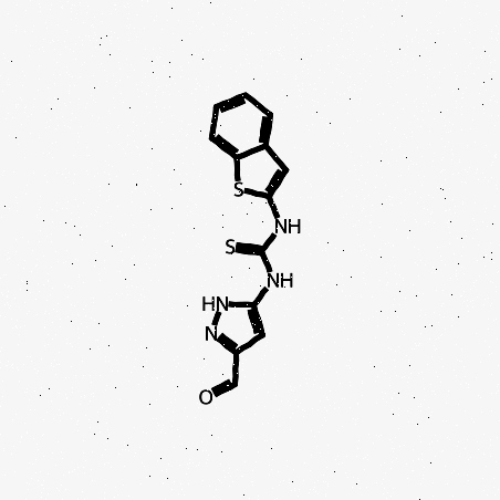 O=Cc1cc(NC(=S)Nc2cc3ccccc3s2)[nH]n1